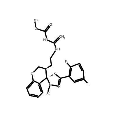 C=C(NCC[C@@H]1COc2ccccc2[C@@]12SC(c1cc(F)ccc1F)=NN2C(C)=O)NC(=O)OC(C)(C)C